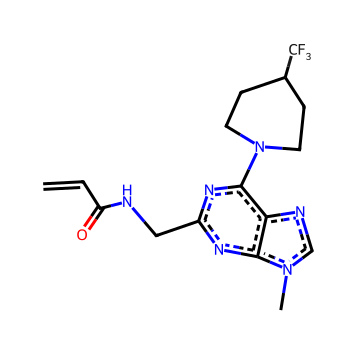 C=CC(=O)NCc1nc(N2CCC(C(F)(F)F)CC2)c2ncn(C)c2n1